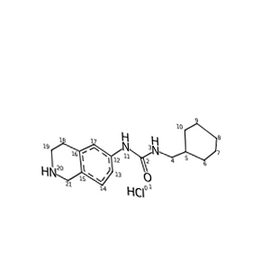 Cl.O=C(NCC1CCCCC1)Nc1ccc2c(c1)CCNC2